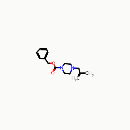 C=C(C)CN1CCN(C(=O)OCc2ccccc2)CC1